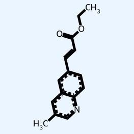 CCOC(=O)/C=C/c1ccc2ncc(C)cc2c1